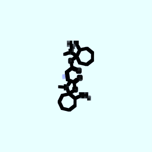 CN(C)C1(OC(=O)/C=C\C(=O)OC2(N(C)C)CCCCCC2N)CCCCCC1N